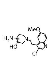 COc1ccc2ncc(Cl)c(CCN3CC[C@@H](N)[C@@H](O)C3)c2c1